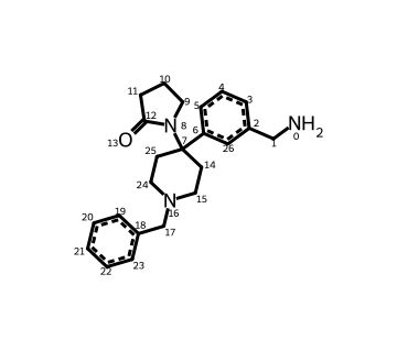 NCc1cccc(C2(N3CCCC3=O)CCN(Cc3ccccc3)CC2)c1